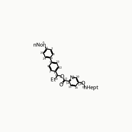 CCCCCCCCCc1ccc(-c2ccc(C(CC)OC(=O)c3ccc(OCCCCCCC)cn3)cc2)cc1